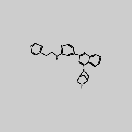 c1ccc(CCNc2cc(-c3nc(N4CC5CC4CN5)c4ccccc4n3)ccn2)cc1